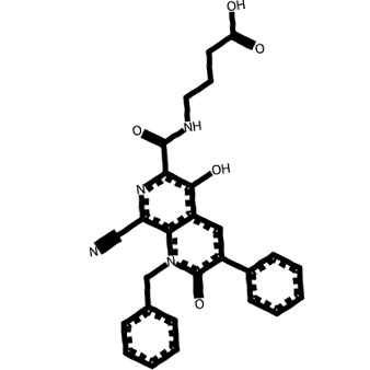 N#Cc1nc(C(=O)NCCCC(=O)O)c(O)c2cc(-c3ccccc3)c(=O)n(Cc3ccccc3)c12